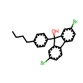 CCCCc1ccc(C2(O)c3cc(Br)ccc3-c3ccc(Br)cc32)cc1